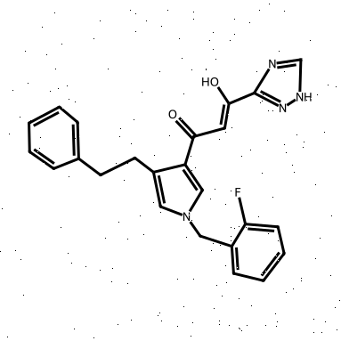 O=C(C=C(O)c1nc[nH]n1)c1cn(Cc2ccccc2F)cc1CCc1ccccc1